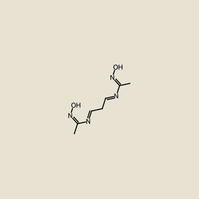 CC(N=CCC=NC(C)=NO)=NO